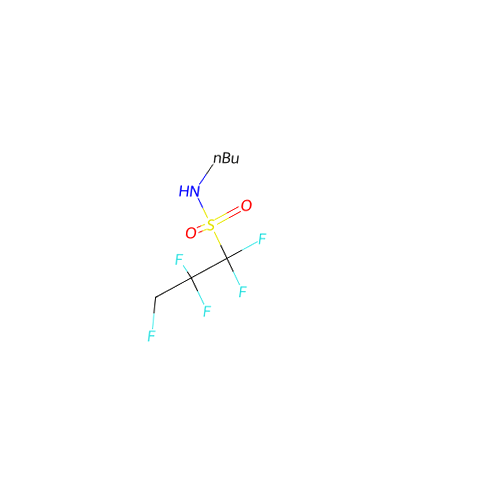 CCCCNS(=O)(=O)C(F)(F)C(F)(F)CF